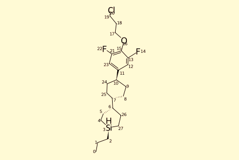 CCC[Si@H]1CC[C@H]([C@H]2CC[C@H](c3cc(F)c(OCCCCl)c(F)c3)CC2)CC1